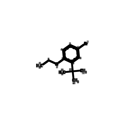 CCOc1ccc(Br)cc1C(C)(C)C